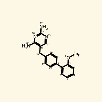 CCCOc1ccccc1-c1ccc(Cc2cnc(N)nc2N)cc1